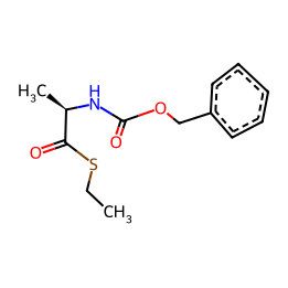 CCSC(=O)[C@@H](C)NC(=O)OCc1ccccc1